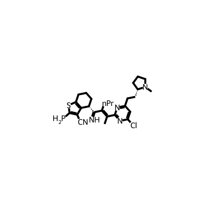 CCC/C(C(=N)[C@H]1CCCc2sc(P)c(C#N)c21)=C(/C)c1nc(Cl)cc(CC[C@@H]2CCCN2C)n1